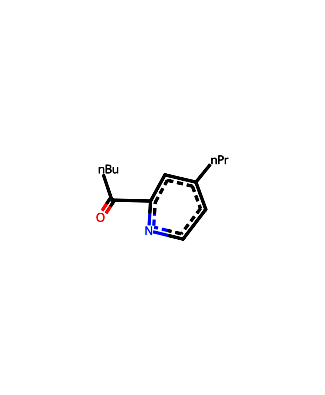 CCCCC(=O)c1cc(CCC)ccn1